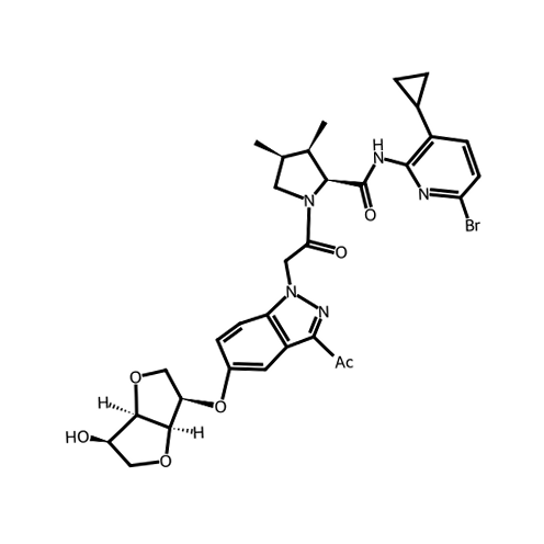 CC(=O)c1nn(CC(=O)N2C[C@@H](C)[C@@H](C)[C@H]2C(=O)Nc2nc(Br)ccc2C2CC2)c2ccc(O[C@@H]3CO[C@H]4[C@@H]3OC[C@H]4O)cc12